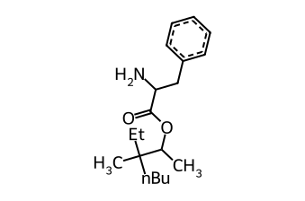 CCCCC(C)(CC)C(C)OC(=O)C(N)Cc1ccccc1